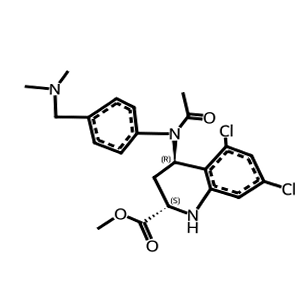 COC(=O)[C@@H]1C[C@@H](N(C(C)=O)c2ccc(CN(C)C)cc2)c2c(Cl)cc(Cl)cc2N1